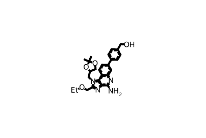 CCOCc1nc2c(N)nc3cc(-c4ccc(CO)cc4)ccc3c2n1CC1COC(C)(C)O1